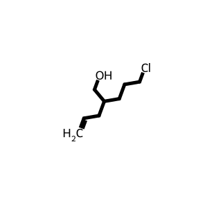 C=CCC(CO)CCCCl